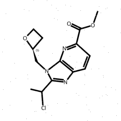 COC(=O)c1ccc2nc(C(C)Cl)n(C[C@@H]3CCO3)c2n1